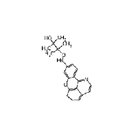 CC(C)(O)C(C)(C)OBc1ccc2c(c1)OC1=c3c-2nccc3=CCC1